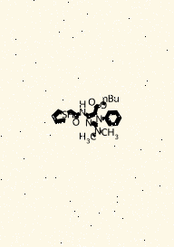 CCCCOC(=O)c1c(NC(=O)C[SH]2C=CC=C2)nc(N(C)C)n1-c1ccccc1